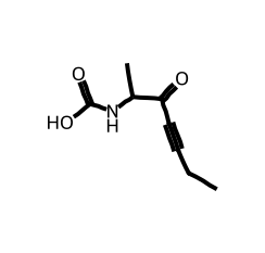 CCC#CC(=O)C(C)NC(=O)O